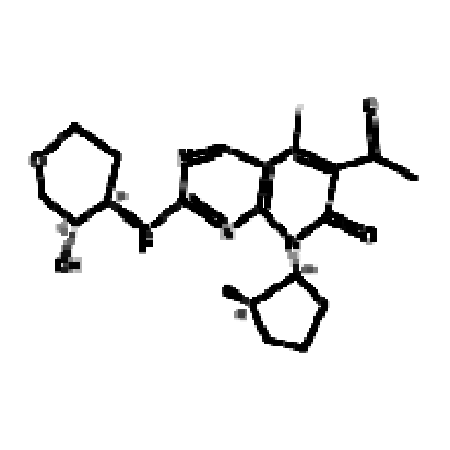 CC(=O)c1c(C)c2cnc(N[C@@H]3CCOC[C@H]3O)nc2n([C@@H]2CCC[C@H]2C)c1=O